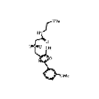 COCCNC(=O)CS(=O)(=O)Cc1nc(-c2cccc(OC)c2)oc1C